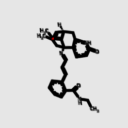 C/C=C1\[C@H]2C=C(C)C[C@]1(N=CC=Cc1ccccc1C(=O)NCC)c1ccc(=O)[nH]c1C2